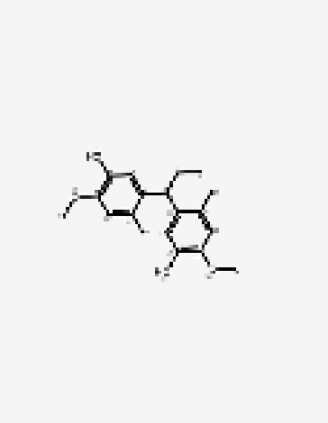 CCC(c1cc(O)c(OC)cc1C)c1cc(O)c(OC)cc1C